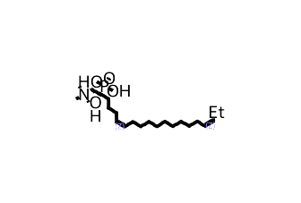 CC/C=C\CCCCCCCCC/C=C\CCCC(O)(C[N+](C)(C)C)P(=O)(O)O